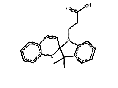 CC1(C)c2ccccc2N(CCC(=O)O)C12C=Cc1ccccc1O2